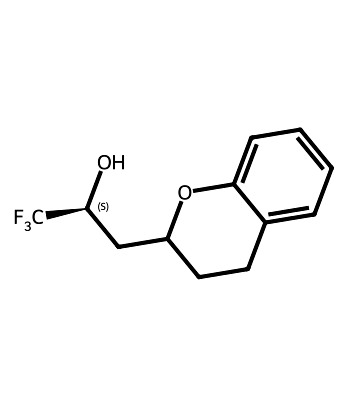 O[C@@H](CC1CCc2ccccc2O1)C(F)(F)F